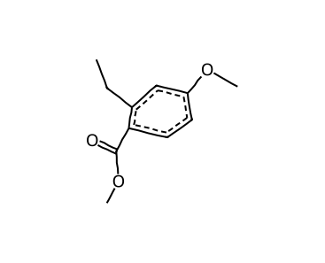 CCc1cc(OC)ccc1C(=O)OC